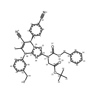 CC1=C(C#N)[C@@H](c2ccc(C#N)cc2)n2nc(N(CC(=O)OC(C)(C)C)C(=O)OCc3ccccc3)nc2N1c1cccc(CF)c1